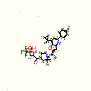 CC1(c2cc(-c3ccc(F)cc3)nc3cc(C(=O)N4CCN(C(=O)C5CC(O)(C(F)(F)F)C5)CC4(C)C)oc23)CC1